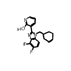 Oc1ncccc1-c1nc2c(F)c(F)ccc2n1CC1CCCCC1